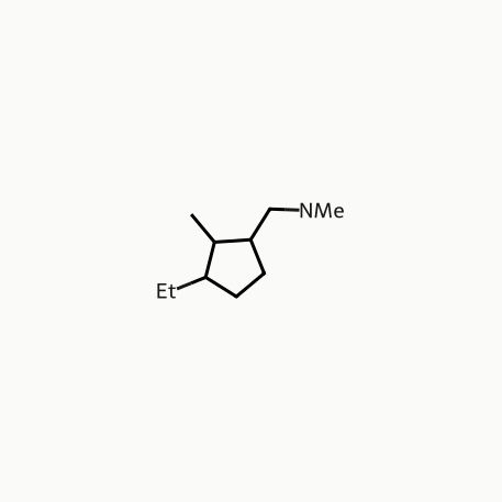 CCC1CCC(CNC)C1C